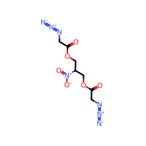 [N-]=[N+]=NCC(=O)OCC(COC(=O)CN=[N+]=[N-])[N+](=O)[O-]